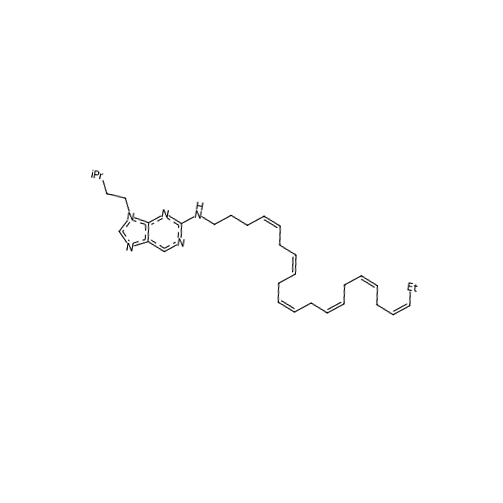 [CH2]C([CH2])CCn1cnc2cnc(NCCC/C=C\C/C=C\C/C=C\C/C=C\C/C=C\C/C=C\CC)nc21